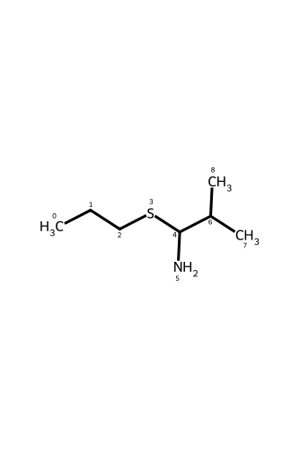 CCCSC(N)C(C)C